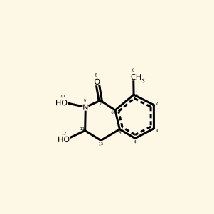 Cc1cccc2c1C(=O)N(O)C(O)C2